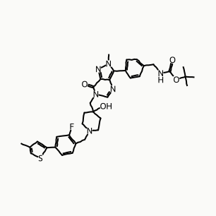 Cc1csc(-c2ccc(CN3CCC(O)(Cn4cnc5c(-c6ccc(CNC(=O)OC(C)(C)C)cc6)n(C)nc5c4=O)CC3)c(F)c2)c1